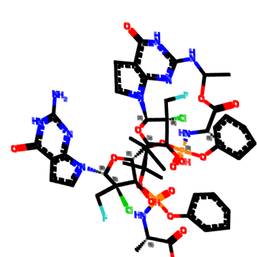 CC(C)OC(=O)[C@H](C)NP(=O)(Oc1ccccc1)OC(C)(C)[C@H]1O[C@@H](n2ccc3c(=O)[nH]c(NC(C)OC(=O)[C@H](C)N[P@@](=O)(Oc4ccccc4)OC(C)(C)[C@H]4O[C@@H](n5ccc6c(=O)[nH]c(N)nc65)[C@@](Cl)(CF)C4O)nc32)[C@@](Cl)(CF)C1O